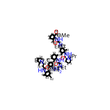 CCCN1CCCC[C@H]1C(=O)Nc1c(C)cccc1C.CCN(CC)CC(=O)Nc1c(C)cccc1C.CCN(CC)CC(=O)Nc1c(C)cccc1C(=O)OC.CCOC(=O)c1ccc(N)cc1.COc1cc(C)cc(C)c1NC(=O)CCN1CCCCC1C